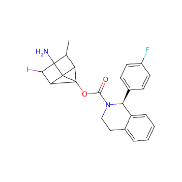 CC1C2C3(OC(=O)N4CCc5ccccc5[C@@H]4c4ccc(F)cc4)C4C(I)C1(N)C243